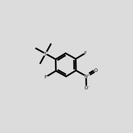 CS(C)(C)c1cc(F)c([N+](=O)[O-])cc1F